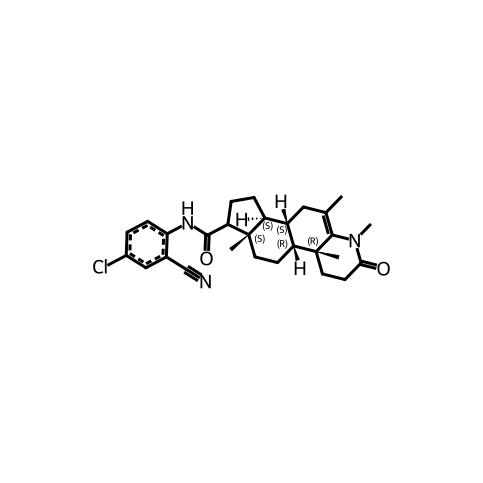 CC1=C2N(C)C(=O)CC[C@]2(C)[C@@H]2CC[C@]3(C)C(C(=O)Nc4ccc(Cl)cc4C#N)CC[C@H]3[C@@H]2C1